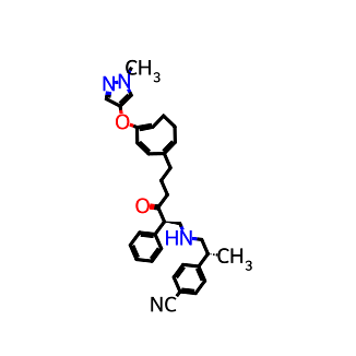 C[C@@H](CNC[C@H](C(=O)CCCC1=C/CC/C=C(Oc2cnn(C)c2)/C=C\1)c1ccccc1)c1ccc(C#N)cc1